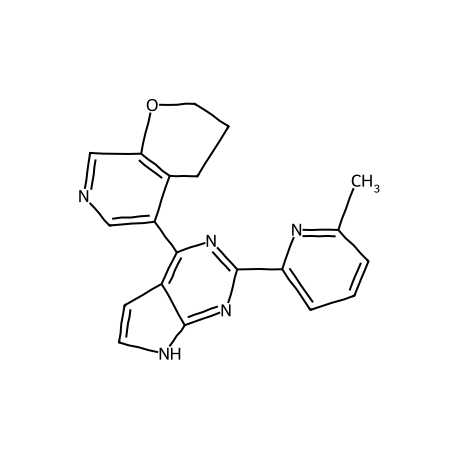 Cc1cccc(-c2nc(-c3cncc4c3CCCO4)c3cc[nH]c3n2)n1